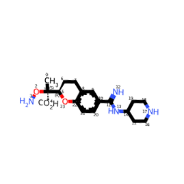 C[C@@](ON)(C(=O)O)[C@H]1CCc2cc(C(=N)NC3CCNCC3)ccc2O1